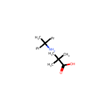 CC(C)(C)C(=O)O.CC(C)C(C)(N)C(C)C